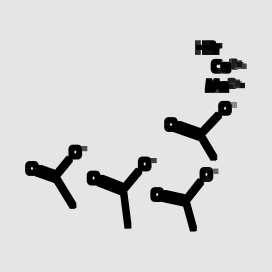 Br.CC(=O)[O-].CC(=O)[O-].CC(=O)[O-].CC(=O)[O-].[Co+2].[Mn+2]